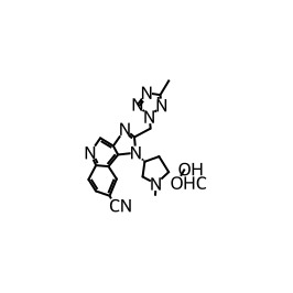 Cc1nnn(Cc2nc3cnc4ccc(C#N)cc4c3n2[C@@H]2CCN(C)C2)n1.O=CO